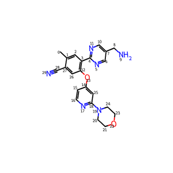 Cc1cc(-c2ncc(CN)cn2)c(Oc2ccnc(N3CCOCC3)c2)cc1C#N